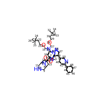 CC(C)(C)OC(=O)N1C2CNCC1CC(c1cc(N(COCC[Si](C)(C)C)COCC[Si](C)(C)C)n3ncc(-c4ccc(-c5ccccc5)nc4)c3n1)C2